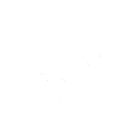 O=C(NC12CC3CC(C1)CC(NC(=O)c1cccc(F)c1)(C3)C2)Oc1cccc(N2CCC(O)CC2)n1